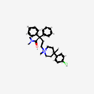 CN(C)C(=O)C(CC[N+]1(C)CCC(C)(c2ccc(Cl)cc2)CC1)(c1ccccc1)c1ccccc1